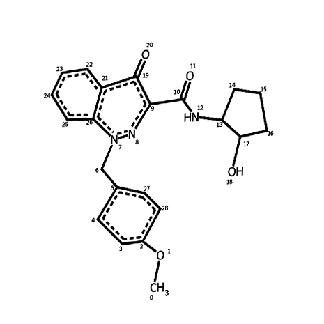 COc1ccc(Cn2nc(C(=O)NC3CCCC3O)c(=O)c3ccccc32)cc1